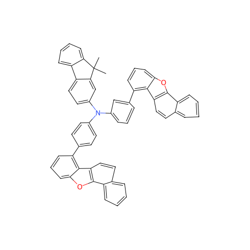 CC1(C)c2ccccc2-c2ccc(N(c3ccc(-c4cccc5oc6c7ccccc7ccc6c45)cc3)c3cccc(-c4cccc5oc6c7ccccc7ccc6c45)c3)cc21